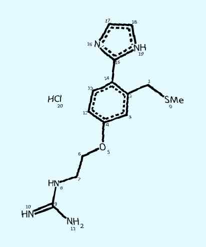 CSCc1cc(OCCNC(=N)N)ccc1-c1ncc[nH]1.Cl